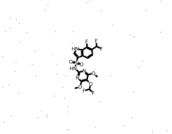 COc1nc(NS(=O)(=O)c2c[nH]c3c(F)c(C(F)F)ccc23)nc(OC)c1OC(F)F